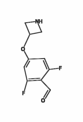 O=Cc1c(F)cc(OC2CNC2)cc1F